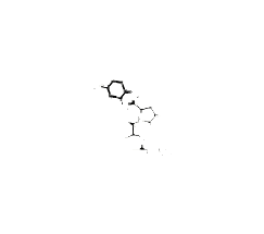 CCC(NC(=O)OC)C(=O)N1CCCC1c1nc2ccc(Br)cc2[nH]1